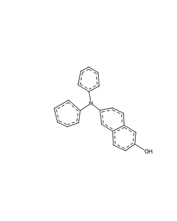 Oc1ccc2cc(N(c3ccccc3)c3ccccc3)ccc2c1